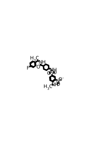 CNc1ccc(S(=O)(=O)NC2CCC(C(=O)N[C@H](C)c3ccc(F)cc3)CC2)cc1[N+](=O)[O-]